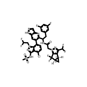 CS(=O)(=O)Nc1nn(CC(F)F)c2c(-c3cc4[nH]ncc4nc3C(Cc3cc(F)cc(F)c3)NC(=O)Cn3nc(C(F)F)c4c3C(F)(F)[C@@H]3C[C@H]43)ccc(Cl)c12